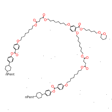 CCCCCC1CCC(c2ccc(OC(=O)c3ccc(OCCCCCCCCOC(=O)CCC(=O)OCCCCCCCCOc4ccc(OCCCCCCCCOC(=O)CCC(=O)OCCCCCCCCOc5ccc(C(=O)Oc6ccc(C7CCC(CCCCC)CC7)cc6)cc5)c(C(=O)OCCCCCCOC5CCCCO5)c4)cc3)cc2)CC1